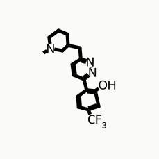 CN1CCCC(Cc2ccc(-c3ccc(C(F)(F)F)cc3O)nn2)C1